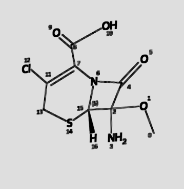 COC1(N)C(=O)N2C(C(=O)O)=C(Cl)CS[C@H]21